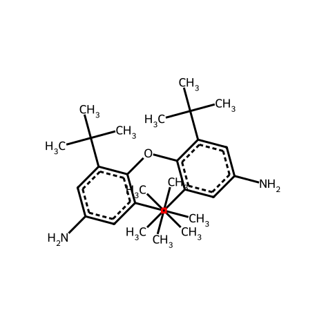 CC(C)(C)c1cc(N)cc(C(C)(C)C)c1Oc1c(C(C)(C)C)cc(N)cc1C(C)(C)C